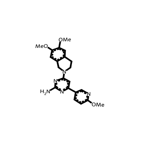 COc1ccc(-c2cc(N3CCc4cc(OC)c(OC)cc4C3)nc(N)n2)cn1